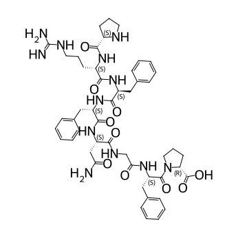 N=C(N)NCCC[C@H](NC(=O)[C@@H]1CCCN1)C(=O)N[C@@H](Cc1ccccc1)C(=O)N[C@@H](Cc1ccccc1)C(=O)N[C@@H](CC(N)=O)C(=O)NCC(=O)N[C@@H](Cc1ccccc1)C(=O)N1CCC[C@@H]1C(=O)O